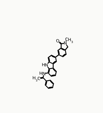 C=C(Nc1cccc2c1[nH]c1ccc(-c3ccc4c(c3)C(=O)N(C)C4)cc12)c1ccccc1